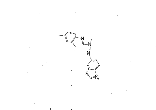 Cc1ccc(N=CN(C)C=Nc2ccc3ncsc3c2)c(C)c1